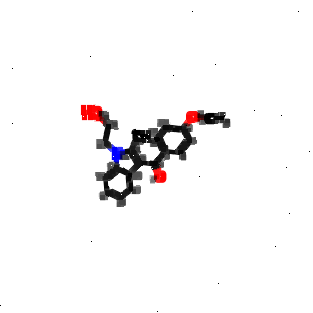 COc1ccc(C(=O)c2c(C)n(CCO)c3ccccc23)cc1